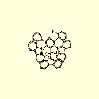 CC(C)(c1c(-n2c3ccccc3c3ccccc32)c(-c2ccccc2F)cc(-c2ccccc2F)c1-n1c2ccccc2c2ccccc21)n1c2ccccc2c2ccccc21